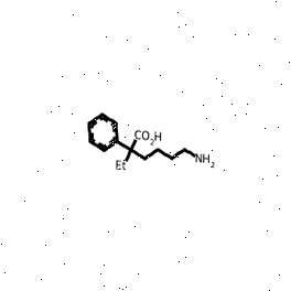 CCC(CCCCN)(C(=O)O)c1ccccc1